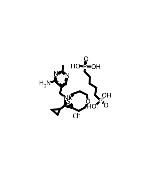 Cc1ncc(C[n+]2c3sc(c2C2CC2)CCOCC3)c(N)n1.O=P(O)(O)CCCCCP(=O)(O)O.[Cl-]